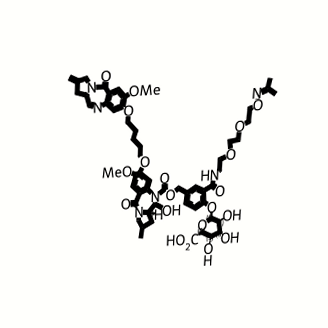 C=C1CC2C=Nc3cc(OCCCCCOc4cc5c(cc4OC)C(=O)N4CC(C)C[C@H]4C(O)N5C(=O)OCc4ccc(O[C@@H]5O[C@H](C(=O)O)[C@@H](O)[C@H](O)[C@H]5O)c(C(=O)NCCOCCOCCON=C(C)C)c4)c(OC)cc3C(=O)N2C1